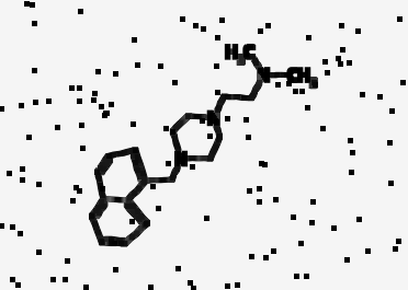 CN(C)CCN1CCN(Cc2cccc3ccccc23)CC1